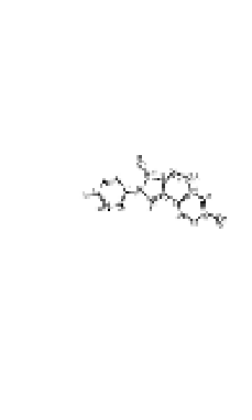 Cc1ccc(-n2nc3c4ccc(Br)cc4[nH]cc-3c2=O)cn1